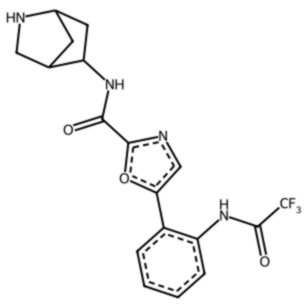 O=C(NC1CC2CC1CN2)c1ncc(-c2ccccc2NC(=O)C(F)(F)F)o1